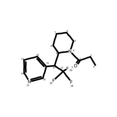 CCC(=O)N1CCCCC1C(c1cccnc1)C(F)(F)F